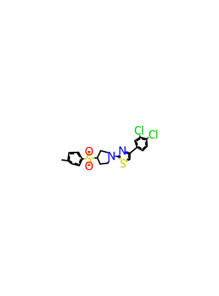 Cc1ccc(S(=O)(=O)C2CCN(c3nc(-c4ccc(Cl)c(Cl)c4)cs3)CC2)cc1